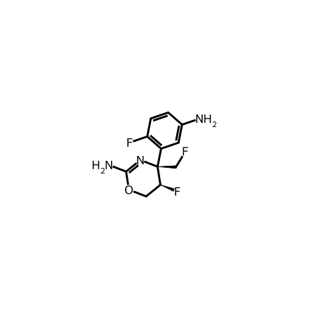 NC1=N[C@](CF)(c2cc(N)ccc2F)[C@@H](F)CO1